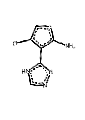 Nc1scc(Cl)c1-c1nnc[nH]1